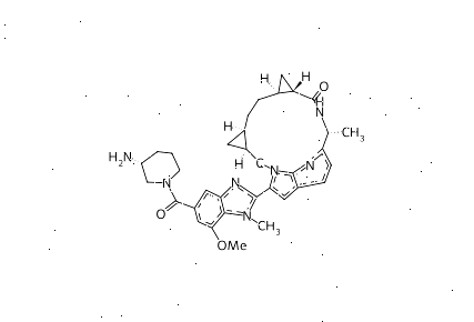 COc1cc(C(=O)N2CCC[C@@H](N)C2)cc2nc(-c3cc4ccc5nc4n3C[C@H]3C[C@H]3CC[C@H]3C[C@@H]3C(=O)N[C@@H]5C)n(C)c12